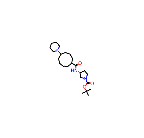 CC(C)(C)OC(=O)N1CC[C@@H](NC(=O)C2CCCCC(N3CCCCC3)CCC2)C1